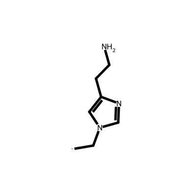 [CH2]Cn1cnc(CCN)c1